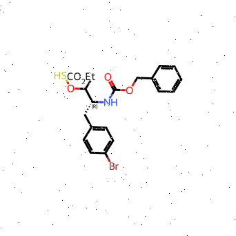 CCOC(=O)C(OS)[C@@H](Cc1ccc(Br)cc1)NC(=O)OCc1ccccc1